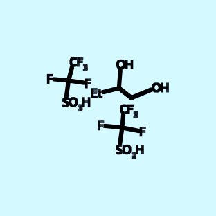 CCC(O)CO.O=S(=O)(O)C(F)(F)C(F)(F)F.O=S(=O)(O)C(F)(F)C(F)(F)F